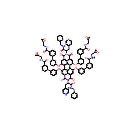 O=C(NCC1CO1)c1cccc(-c2cccc(Oc3cc4c5c(cc(Oc6cccc(-c7cccc(C(=O)NCC8CO8)c7)c6)c6c7c(Oc8cccc(-c9cccc(C(=O)NCC%10CO%10)c9)c8)cc8c9c(cc(Oc%10cccc(-c%11cccc(C(=O)NCC%12CO%12)c%11)c%10)c(c3c56)c97)C(=O)N(C(Cc3ccncc3)C(=O)NCc3ccccc3)C8=O)C(=O)N(C(Cc3ccncc3)C(=O)NCc3ccccc3)C4=O)c2)c1